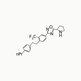 CCCc1ccc(CCc2ccc(-c3noc(C4CCCN4)n3)cc2C(F)(F)F)cc1